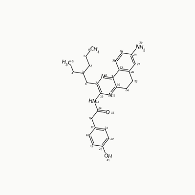 CCCC(CC)Cc1nc2c(nc1NC(=O)Cc1ccc(O)cc1)CCc1cc(N)ccc1-2